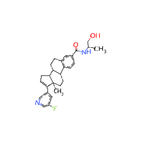 CC(CO)NC(=O)c1ccc2c(c1)CCC1C2CCC2(C)C(c3cncc(F)c3)=CCC12